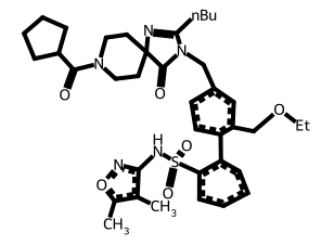 CCCCC1=NC2(CCN(C(=O)C3CCCC3)CC2)C(=O)N1Cc1ccc(-c2ccccc2S(=O)(=O)Nc2noc(C)c2C)c(COCC)c1